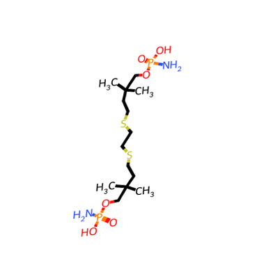 CC(C)(CCSCCSCCC(C)(C)COP(N)(=O)O)COP(N)(=O)O